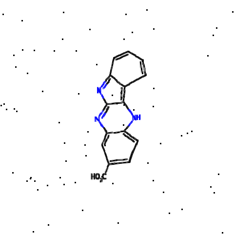 O=C(O)c1ccc2[nH]c3c4ccccc4nc-3nc2c1